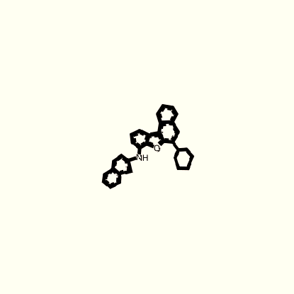 c1ccc2cc(Nc3cccc4c3oc3c(C5CCCCC5)cc5ccccc5c34)ccc2c1